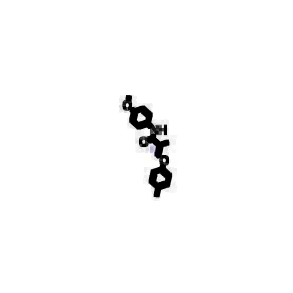 COc1ccc(NC(=O)/C(C)=C/Oc2ccc(C)cc2)cc1